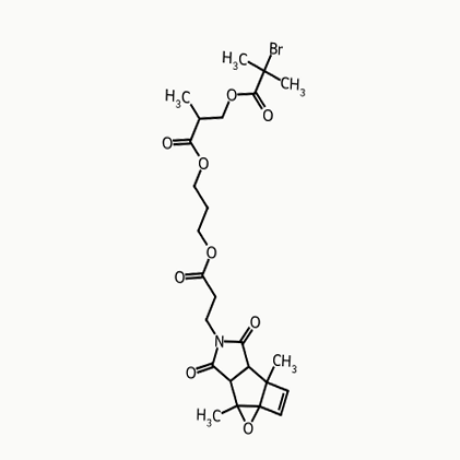 CC(COC(=O)C(C)(C)Br)C(=O)OCCCOC(=O)CCN1C(=O)C2C(C1=O)C1(C)OC13C=CC23C